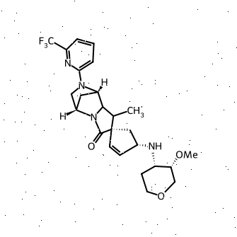 CO[C@@H]1COCC[C@@H]1N[C@@H]1C=C[C@@]2(C1)C(=O)N1C(C2C)[C@@H]2C[C@H]1CN2c1cccc(C(F)(F)F)n1